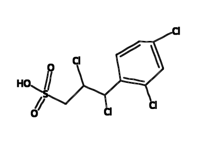 O=S(=O)(O)CC(Cl)C(Cl)c1ccc(Cl)cc1Cl